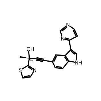 C[C@@](O)(C#Cc1ccc2[nH]cc(-c3ccncn3)c2c1)c1nccs1